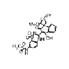 COC(=O)C1(CCC(C)C)C(=O)C(C2=NS(=O)(=O)c3cc(NS(C)(=O)=O)ccc3N2)=C(O)c2ccccc21